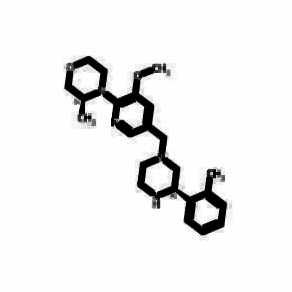 COc1cc(CN2CCN[C@H](c3ccccc3C)C2)cnc1N1CCOC[C@@H]1C